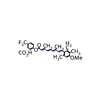 COc1cc(C)c(/C=C/C(C)=C/C=C/C(C)=C/C(=O)Oc2ccc(C(F)(F)F)cc2C(=O)O)c(C)c1C